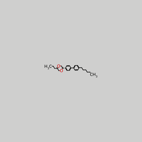 CCCCCCc1ccc(-c2ccc([C@H]3CO[C@H](CCC)CO3)cc2)cc1